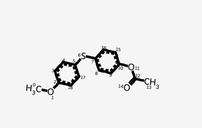 COc1ccc(Sc2ccc(OC(C)=O)cc2)cc1